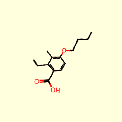 CCCCOc1ccc(C(=O)O)c(CC)c1C